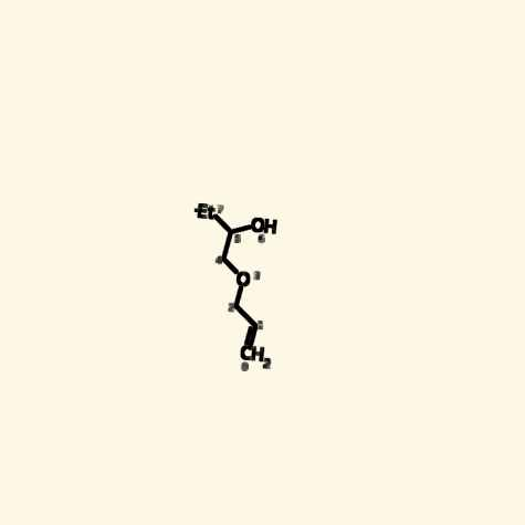 C=CCOCC(O)[CH]C